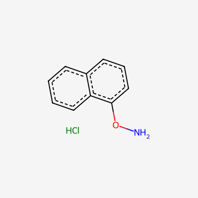 Cl.NOc1cccc2ccccc12